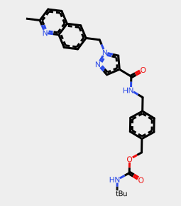 Cc1ccc2cc(Cn3cc(C(=O)NCc4ccc(COC(=O)NC(C)(C)C)cc4)cn3)ccc2n1